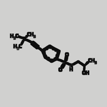 C[C@@H](O)CNS(=O)(=O)c1ccc(C#C[Si](C)(C)C)cc1